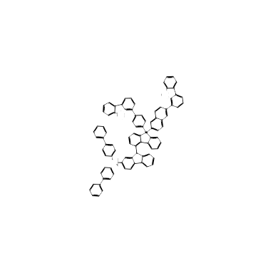 c1ccc(-c2ccc(N(c3ccc(-c4ccccc4)cc3)c3ccc4c(c3)C(c3cccc5c3-c3ccccc3C5(c3ccc(-c5cccc6c5oc5ccccc56)cc3)c3ccc5cc(-c6cccc7c6oc6ccccc67)ccc5c3)c3ccccc3-4)cc2)cc1